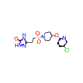 O=c1[nH]nc(CCS(=O)(=O)N2CCC(Oc3ccc(Cl)cn3)CC2)[nH]1